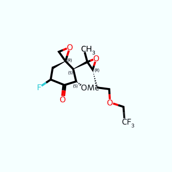 CO[C@@H]1C(=O)C(F)C[C@]2(CO2)[C@H]1C1(C)O[C@@H]1CCOCC(F)(F)F